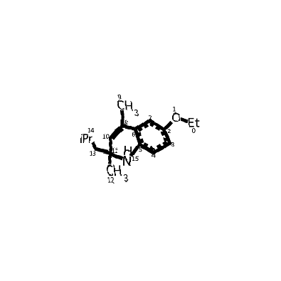 CCOc1ccc2c(c1)C(C)=CC(C)(CC(C)C)N2